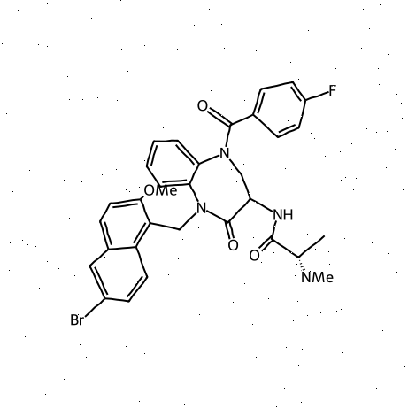 CN[C@@H](C)C(=O)NC1CN(C(=O)c2ccc(F)cc2)c2ccccc2N(Cc2c(OC)ccc3cc(Br)ccc23)C1=O